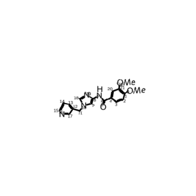 COc1ccc(C(=O)Nc2cn(Cc3cccnc3)cn2)cc1OC